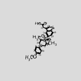 COc1ccc(N2C[C@@H](C)N(S(=O)(=O)c3ccc4scc(CC(=O)O)c4c3)[C@@H](C)C2)cc1